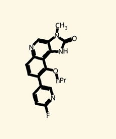 CCCOc1c(-c2ccc(F)nc2)ccc2ncc3c([nH]c(=O)n3C)c12